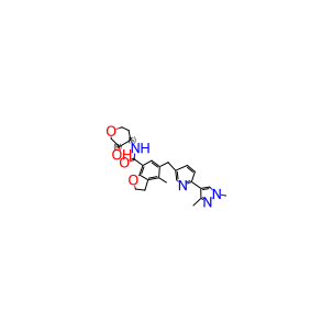 Cc1nn(C)cc1-c1ccc(Cc2cc(C(=O)N[C@H]3CCOC[C@@H]3O)c3c(c2C)CCO3)cn1